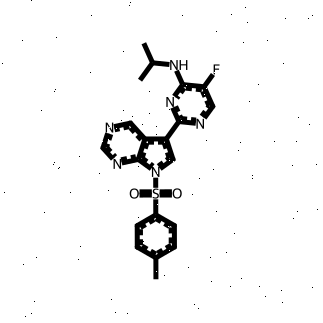 Cc1ccc(S(=O)(=O)n2cc(-c3ncc(F)c(NC(C)C)n3)c3cncnc32)cc1